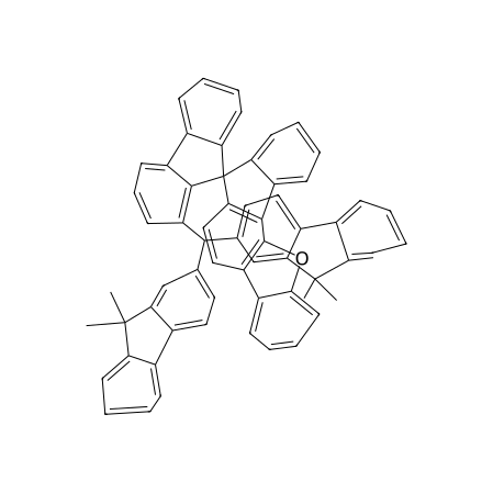 CC1(C)c2ccccc2-c2ccc(C(c3ccc4c(c3)C(C)(C)c3ccccc3-4)c3cccc4c3C3(c5ccccc5-4)c4ccccc4-c4c3ccc3c4oc4ccccc43)cc21